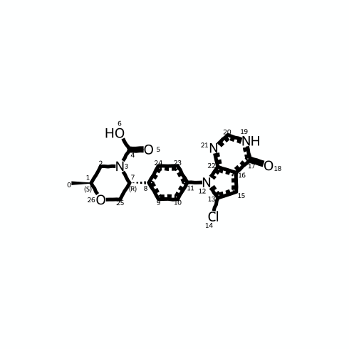 C[C@H]1CN(C(=O)O)[C@H](c2ccc(-n3c(Cl)cc4c(=O)[nH]cnc43)cc2)CO1